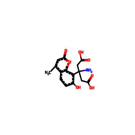 Cc1cc(=O)oc2c(C(N)(CC(=O)O)CC(=O)O)c(O)ccc12